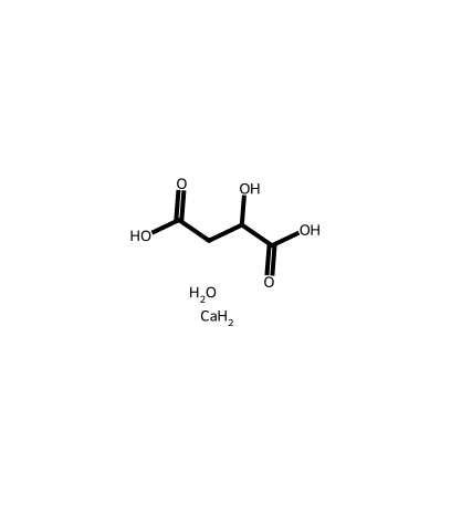 O.O=C(O)CC(O)C(=O)O.[CaH2]